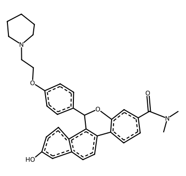 CN(C)C(=O)c1ccc2c(c1)OC(c1ccc(OCCN3CCCCC3)cc1)c1c-2ccc2cc(O)ccc12